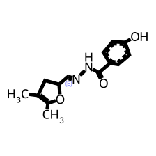 CC1=C(C)OC(/C=N/NC(=O)c2ccc(O)cc2)C1